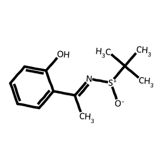 CC(=N[S+]([O-])C(C)(C)C)c1ccccc1O